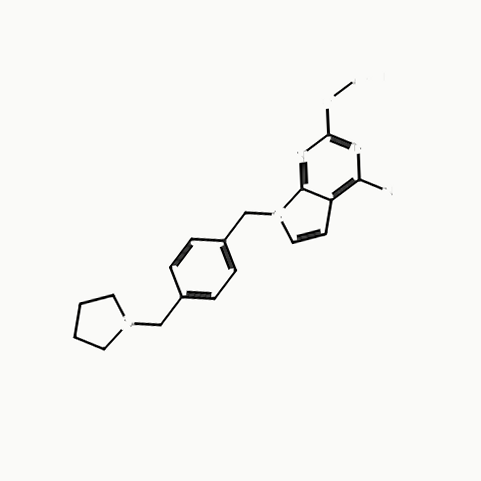 CCCC(C)Oc1nc(N)c2ccn(Cc3ccc(CN4CCCC4)cc3)c2n1